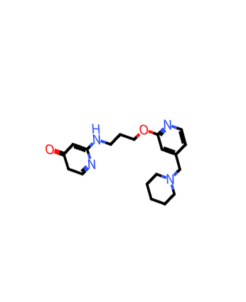 O=C1C=C(NCCCOc2cc(CN3CCCCC3)ccn2)N=CC1